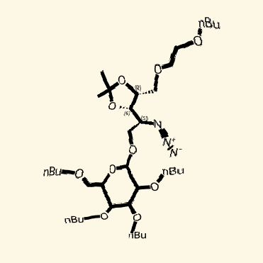 CCCCOCCOC[C@H]1OC(C)(C)O[C@H]1[C@H](COC1OC(COCCCC)C(OCCCC)C(OCCCC)C1OCCCC)N=[N+]=[N-]